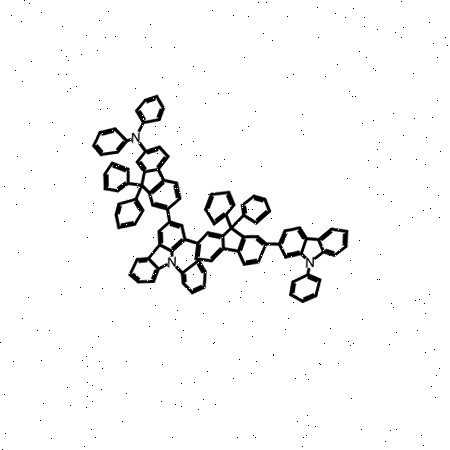 c1ccc(N(c2ccccc2)c2ccc3c(c2)C(c2ccccc2)(c2ccccc2)c2cc(-c4cc(-c5ccc6c(c5)C(c5ccccc5)(c5ccccc5)c5cc(-c7ccc8c9ccccc9n(-c9ccccc9)c8c7)ccc5-6)c5c(c4)c4ccccc4n5-c4ccccc4)ccc2-3)cc1